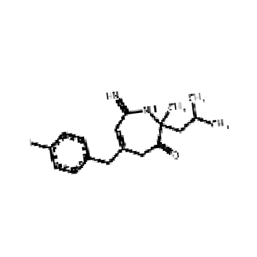 CC(C)CC1(C)NC(=N)C=C(Cc2ccc(I)cc2)CC1=O